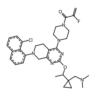 C=C(F)C(=O)N1CCN(c2nc(OC(C)C3(CN(C)C)CC3)nc3c2CCN(c2cccc4cccc(Cl)c24)C3)CC1